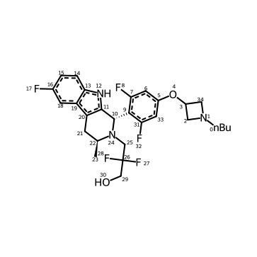 CCCCN1CC(Oc2cc(F)c([C@H]3c4[nH]c5ccc(F)cc5c4C[C@H](C)N3CC(F)(F)CO)c(F)c2)C1